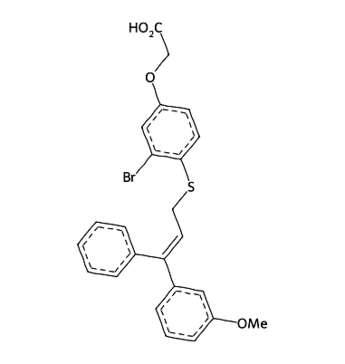 COc1cccc(C(=CCSc2ccc(OCC(=O)O)cc2Br)c2ccccc2)c1